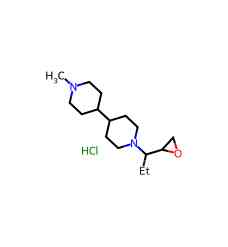 CCC(C1CO1)N1CCC(C2CCN(C)CC2)CC1.Cl